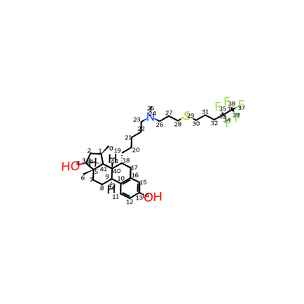 C[C@@H]1C[C@H](O)[C@@]2(C)CC[C@@H]3c4ccc(O)cc4C[C@@H](CCCCCN(C)CCCSCCCC(F)(F)C(F)(F)F)[C@H]3[C@H]12